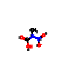 CN(C(=O)O)[N+](=O)[O-]